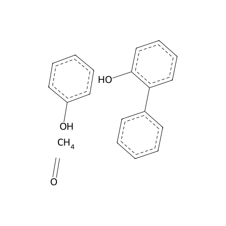 C.C=O.Oc1ccccc1.Oc1ccccc1-c1ccccc1